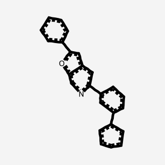 c1ccc(-c2cccc(-c3cc4cc(-c5ccccc5)oc4cn3)c2)cc1